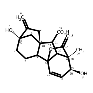 C=C1C[C@]23C[C@@]1(O)CCC2C12C=C[C@H](O)[C@](C)(C(=O)O1)C2C3C(=O)O